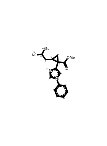 COC(=O)C1(c2cn(-c3ccccc3)cn2)C[C@@H]1CC(C#N)C(C)(C)C